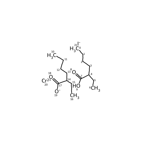 CCCCC(CC)C(=O)O.CCCCC(CC)C(=O)[O-].[Cr+2].[I-]